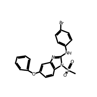 CS(=O)(=O)n1c(Nc2ccc(Br)cc2)nc2cc(Oc3ccccc3)ccc21